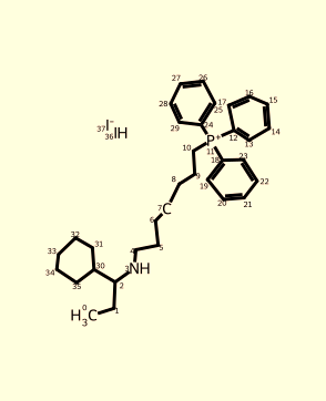 CCC(NCCCCCCC[P+](c1ccccc1)(c1ccccc1)c1ccccc1)C1CCCCC1.I.[I-]